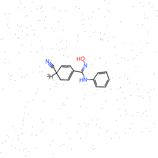 [2H]C1(C#N)C=CC(/C(=N\O)Nc2ccccc2)=CC1